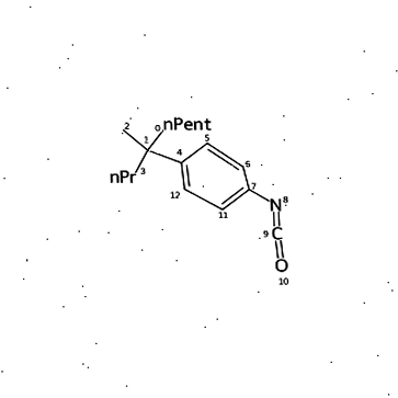 CCCCCC(C)(CCC)c1ccc(N=C=O)cc1